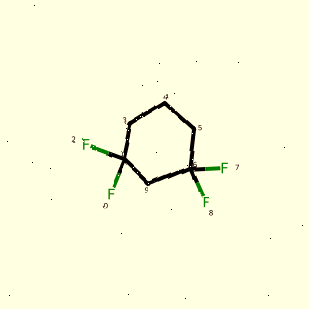 FC1(F)[CH]CCC(F)(F)C1